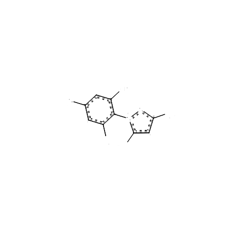 O=[N+]([O-])c1cc(Cl)c(-n2nc(C(F)(F)F)cc2C(F)(F)F)c(Cl)c1